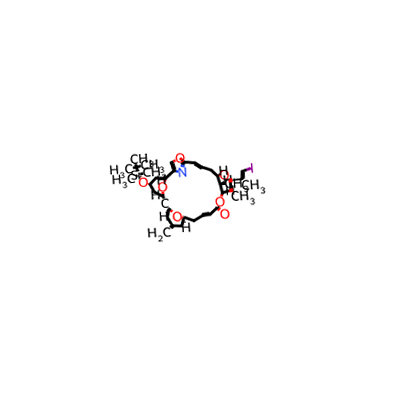 C=C1C[C@@H]2C[C@@H]3C[C@@H](O[Si](C)(C)C(C)(C)C)C[C@@H](O3)c3coc(n3)/C=C/C[C@H]3O[C@@H](/C(C)=C/I)[C@H](C)[C@@H](OC(=O)/C=C/C[C@@H](C1)O2)[C@H]3C